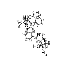 C=C(C)c1ccccc1[C@@H](NS(=O)(=O)C1CC1)c1cc2cccc(-c3cc([C@@](C)(O)C(F)(F)F)ccn3)c2s1